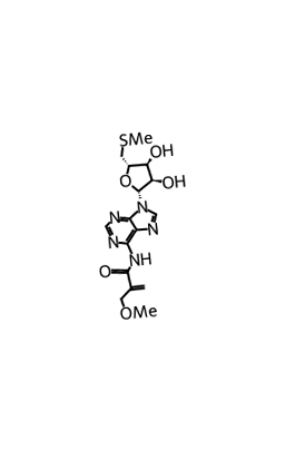 C=C(COC)C(=O)Nc1ncnc2c1ncn2[C@@H]1O[C@H](CSC)[C@@H](O)[C@H]1O